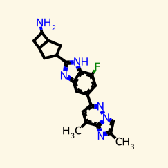 Cc1cn2nc(-c3cc(F)c4[nH]c(C5CC6CC(N)C6C5)nc4c3)cc(C)c2n1